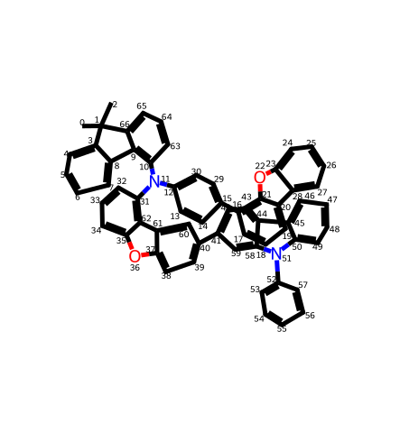 CC1(C)c2ccccc2-c2c(N(c3ccc(-c4cccc5c4oc4ccccc45)cc3)c3cccc4oc5ccc(-c6ccc7c8ccccc8n(-c8ccccc8)c7c6)cc5c34)cccc21